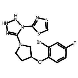 Fc1ccc(O[C@H]2CCN(C3=NNNN3c3nncs3)C2)c(Br)c1